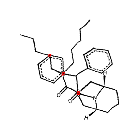 CCCCCN(CCCCC)C(=O)N1C[C@H]2CCC[C@@H](C1)N2C(=O)C(c1ccccc1)c1ccccc1